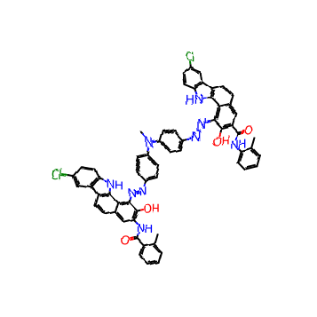 Cc1ccccc1NC(=O)c1cc2ccc3c4cc(Cl)ccc4[nH]c3c2c(N=Nc2ccc(N(C)c3ccc(N=Nc4c(O)c(NC(=O)c5ccccc5C)cc5ccc6c7cc(Cl)ccc7[nH]c6c45)cc3)cc2)c1O